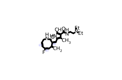 C=C1/C=C(F)\C=C/CNC(=O)/C1=C\c1[nH]c(C)c(C(=O)NCCN(CC)CC)c1C